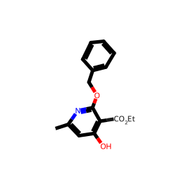 CCOC(=O)c1c(O)cc(C)nc1OCc1ccccc1